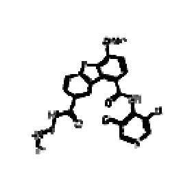 COc1ccc(C(=O)Nc2c(Cl)cncc2Cl)c2c1oc1ccc(C(=O)NONC(C)C)cc12